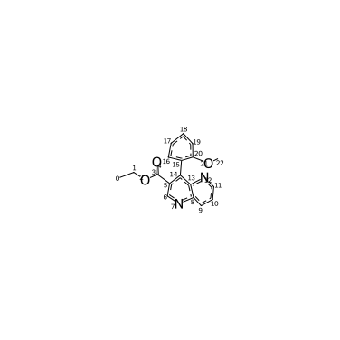 CCOC(=O)c1cnc2cccnc2c1-c1ccccc1OC